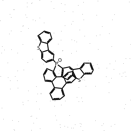 O=P(c1ccc2sc3ccccc3c2c1)(c1ccc2sc3ccccc3c2c1)c1cccc2c3ccccc3c3ccccc3c12